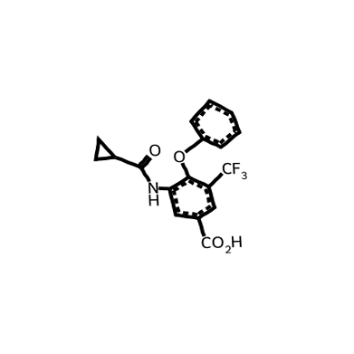 O=C(O)c1cc(NC(=O)C2CC2)c(Oc2ccccc2)c(C(F)(F)F)c1